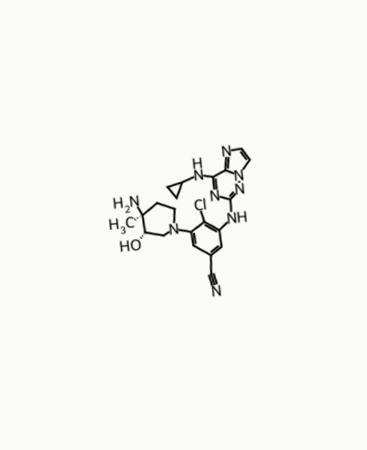 C[C@]1(N)CCN(c2cc(C#N)cc(Nc3nc(NC4CC4)c4nccn4n3)c2Cl)C[C@@H]1O